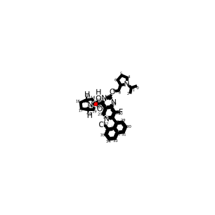 CC(C)N1CCCC1COc1nc(N2C[C@H]3CC[C@@H](C2)N3C(=O)O)c2cnc(-c3cccc4cccc(Cl)c34)c(F)c2n1